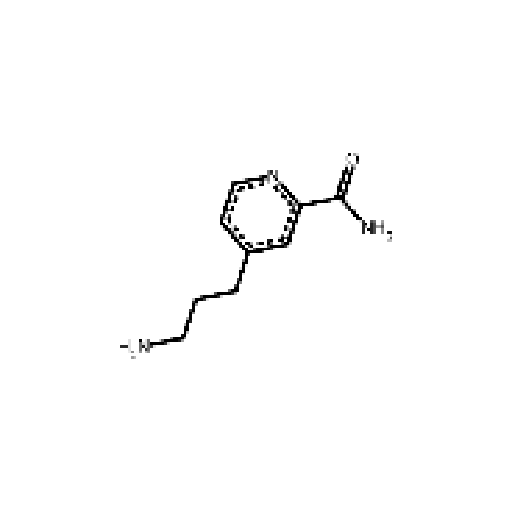 NCCCc1ccnc(C(N)=O)c1